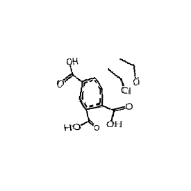 CCCl.CCCl.O=C(O)c1ccc(C(=O)O)c(C(=O)O)c1